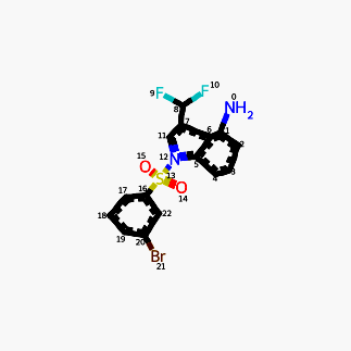 Nc1cccc2c1c(C(F)F)cn2S(=O)(=O)c1cccc(Br)c1